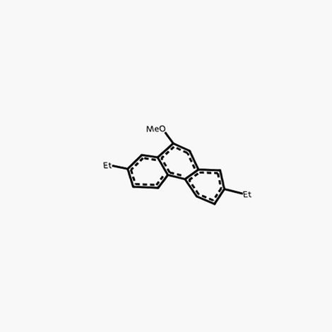 CCc1ccc2c(c1)cc(OC)c1cc(CC)ccc12